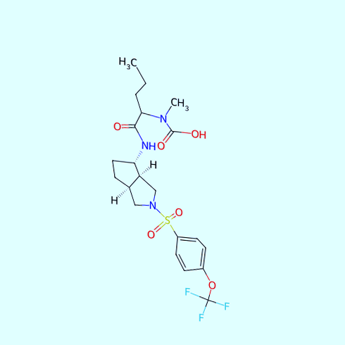 CCCC(C(=O)N[C@H]1CC[C@@H]2CN(S(=O)(=O)c3ccc(OC(F)(F)F)cc3)C[C@@H]21)N(C)C(=O)O